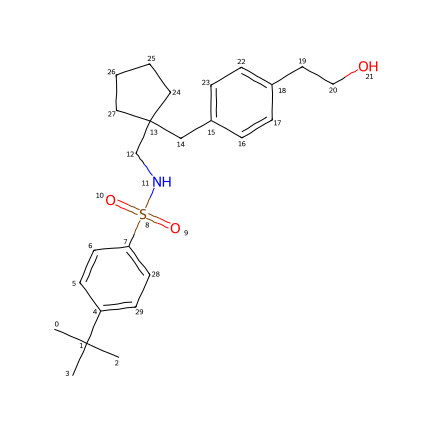 CC(C)(C)c1ccc(S(=O)(=O)NCC2(Cc3ccc(CCO)cc3)CCCC2)cc1